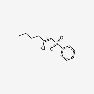 CCCC/C(Cl)=C/S(=O)(=O)c1ccccc1